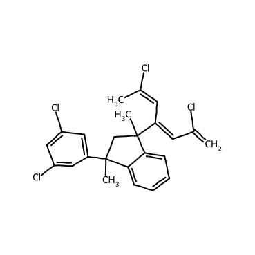 C=C(Cl)/C=C(\C=C(/C)Cl)C1(C)CC(C)(c2cc(Cl)cc(Cl)c2)c2ccccc21